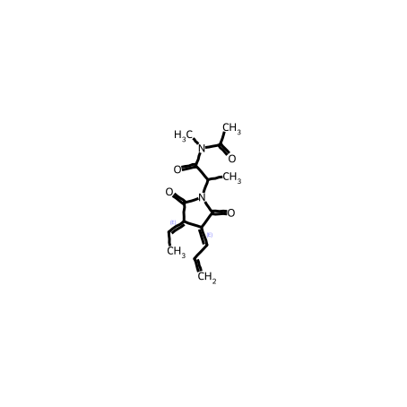 C=C/C=C1/C(=O)N(C(C)C(=O)N(C)C(C)=O)C(=O)/C1=C/C